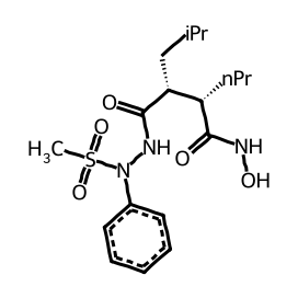 CCC[C@H](C(=O)NO)[C@@H](CC(C)C)C(=O)NN(c1ccccc1)S(C)(=O)=O